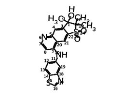 CC1(O)c2cc3nccc(Nc4ccc5scnc5c4)c3cc2S(=O)(=O)C1(C)C